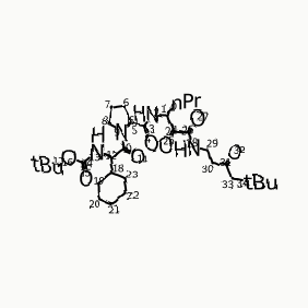 CCCC(NC(=O)[C@@H]1CCCN1C(=O)C(NC(=O)OC(C)(C)C)C1CCCCC1)C(=O)C(=O)NCCC(=O)CC(C)(C)C